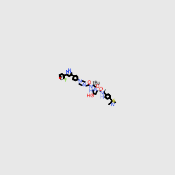 Cc1ncsc1-c1ccc([C@H](C)NC(=O)[C@@H]2C[C@@H](O)CN2C(=O)C(NC(=O)CN2CCN(c3ccc(-c4cnnc(-c5ccccc5F)c4)cc3)CC2)C(C)(C)C)cc1